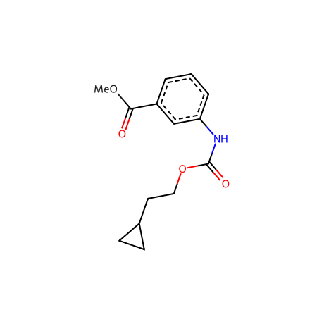 COC(=O)c1cccc(NC(=O)OCCC2CC2)c1